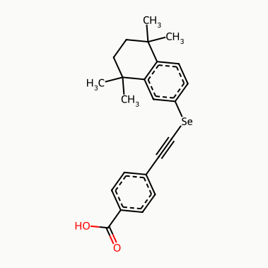 CC1(C)CCC(C)(C)c2cc([Se]C#Cc3ccc(C(=O)O)cc3)ccc21